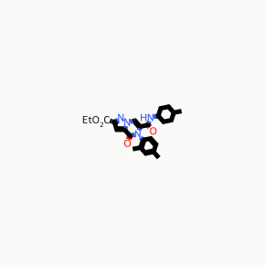 CCOC(=O)c1cc2c(=O)n(-c3ccc(C)cc3C)c(C(=O)NC3CCC(C)CC3)cn2n1